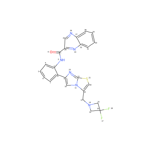 O=C(Nc1ccccc1-c1cn2c(CN3CC(F)(F)C3)csc2n1)c1cnc2ccccc2n1